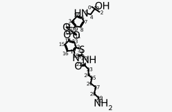 CC(C)(O)CNc1ccc(S(=O)(=O)Oc2ccc3nc(NC(=O)CCCCCCCN)sc3c2)cc1